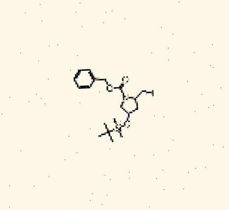 CC(C)(C)[Si](C)(C)OC1CC(CI)N(C(=O)OCc2ccccc2)C1